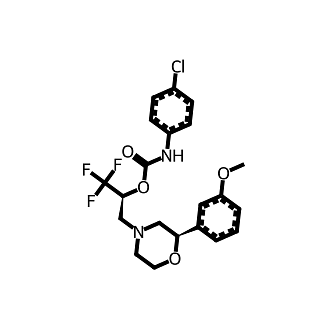 COc1cccc([C@@H]2CN(C[C@H](OC(=O)Nc3ccc(Cl)cc3)C(F)(F)F)CCO2)c1